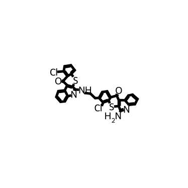 Nc1nc2ccccc2c2c(=O)c3ccc(CCCNc4nc5ccccc5c5c(=O)c6c(Cl)cccc6sc45)c(Cl)c3sc12